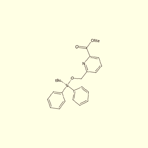 COC(=O)c1cccc(CO[Si](c2ccccc2)(c2ccccc2)C(C)(C)C)n1